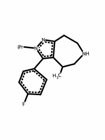 CC1CNCCc2nn(C(C)C)c(-c3ccc(F)cc3)c21